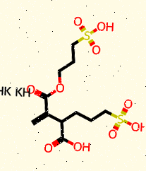 C=C(C(=O)OCCCS(=O)(=O)O)C(CCCS(=O)(=O)O)C(=O)O.[KH].[KH]